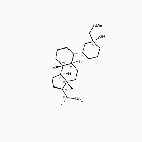 COC[C@@]1(O)CCC[C@H](C2CCC[C@@H]3[C@@H]2CC[C@]2(C)[C@@H]([C@@H](C)N)CC[C@@H]32)C1